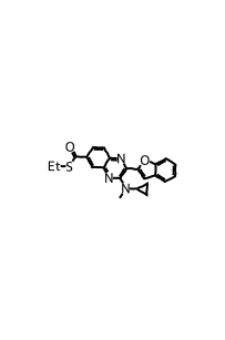 CCSC(=O)c1ccc2nc(-c3cc4ccccc4o3)c(N(C)C3CC3)nc2c1